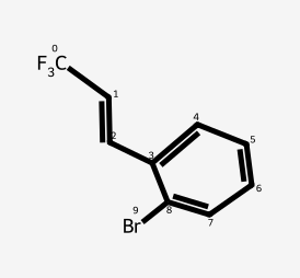 FC(F)(F)C=Cc1ccccc1Br